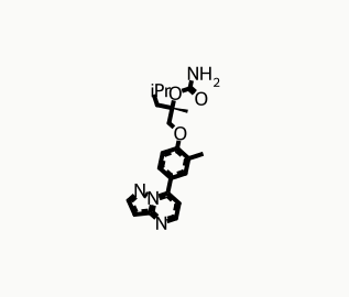 Cc1cc(-c2ccnc3ccnn23)ccc1OC[C@](C)(CC(C)C)OC(N)=O